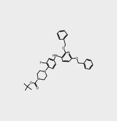 CC(C)(C)OC(=O)N1CCN(c2ccc(Nc3ccc(OCc4ccccc4)nc3OCc3ccccc3)cc2F)CC1